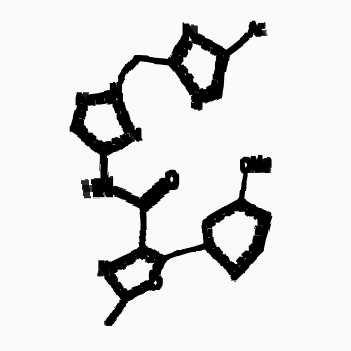 COc1cccc(-c2oc(C)nc2C(=O)Nc2cnn(Cc3nc(C(C)=O)cs3)n2)c1